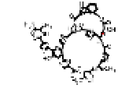 C=C(NC(=O)c1csc(-c2nc3c(cc2O)-c2nc(cs2)C(=O)N[C@@H]([C@H](C)O)C(=O)N/C(=C/C)c2nc(cs2)C(=O)N[C@H]2C[C@@H](O)C(=O)OCc4cccc5[nH]c(c(C)c45)C(=O)SC[C@H](NC(=O)c4csc2n4)c2nc-3cs2)n1)C(N)=O